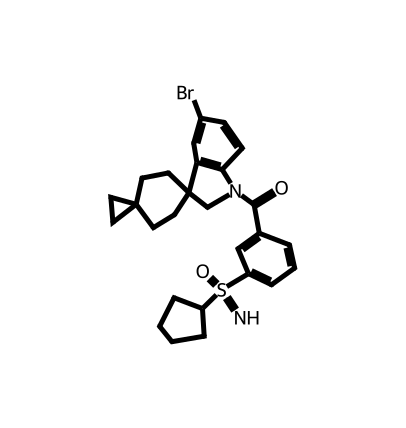 N=S(=O)(c1cccc(C(=O)N2CC3(CCC4(CC4)CC3)c3cc(Br)ccc32)c1)C1CCCC1